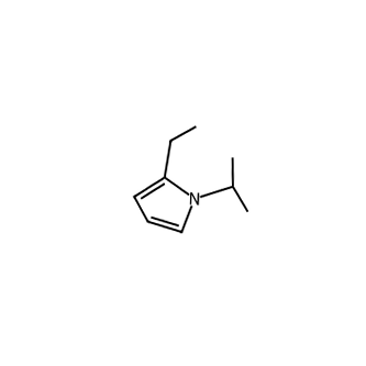 CCc1cccn1C(C)C